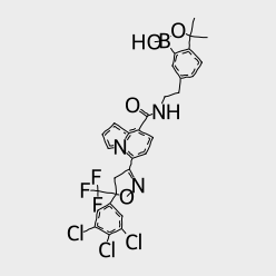 CC1(C)OB(O)c2cc(CCNC(=O)c3ccc(C4=NOC(c5cc(Cl)c(Cl)c(Cl)c5)(C(F)(F)F)C4)n4cccc34)ccc21